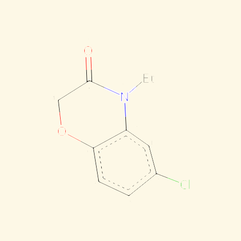 CCN1C(=O)COc2ccc(Cl)cc21